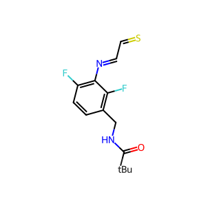 CC(C)(C)C(=O)NCc1ccc(F)c(N=CC=S)c1F